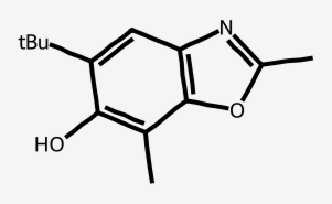 Cc1nc2cc(C(C)(C)C)c(O)c(C)c2o1